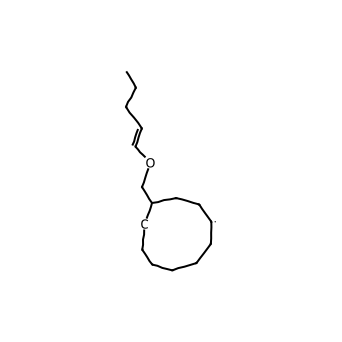 CCCC=COCC1CC[CH]CCCCCC1